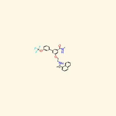 CNC(=O)c1cc(OCCN[C@H](C)c2cccc3ccccc23)cc(-c2cccc(OC(F)(F)F)c2)c1